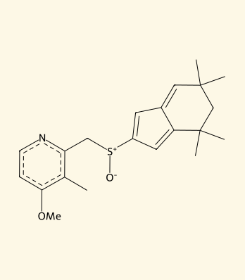 COc1ccnc(C[S+]([O-])C2=CC3=CC(C)(C)CC(C)(C)C3=C2)c1C